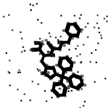 CNC(=O)[C@H](CC1=CN(C(c2ccccc2)(c2ccccc2)c2ccccc2)CN1)NC(=O)CNCc1ccccc1